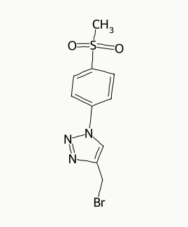 CS(=O)(=O)c1ccc(-n2cc(CBr)nn2)cc1